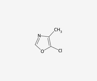 Cc1ncoc1Cl